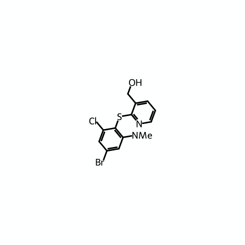 CNc1cc(Br)cc(Cl)c1Sc1ncccc1CO